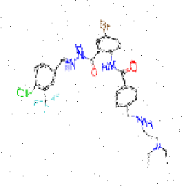 CCN(CC)CCNCc1ccc(C(=O)Nc2ccc(Br)cc2C(=O)N/N=C/c2ccc(Cl)c(C(F)(F)F)c2)cc1